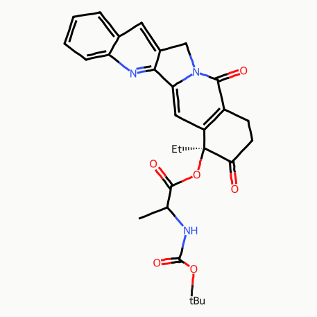 CC[C@@]1(OC(=O)C(C)NC(=O)OC(C)(C)C)C(=O)CCc2c1cc1n(c2=O)Cc2cc3ccccc3nc2-1